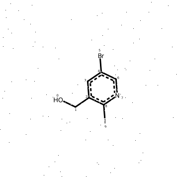 OCc1cc(Br)cnc1I